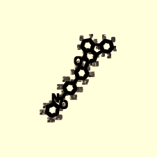 c1ccc2c(c1)-c1cccc3c1c-2cc1c2ccc(-c4ccc(-c5nc6ccccc6o5)cc4)cc2oc31